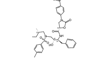 CC[C@H](C)CN(C[C@@H](O)[C@H](Cc1ccccc1)NC(=O)[C@@H]1CN(c2ccc(C(C)=O)cc2)C(=O)O1)S(=O)(=O)c1ccc(C)cc1